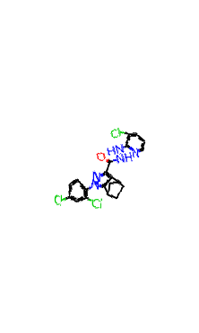 O=C(NNc1ncccc1Cl)c1nn(-c2ccc(Cl)cc2Cl)c2c1C1CCC2C1